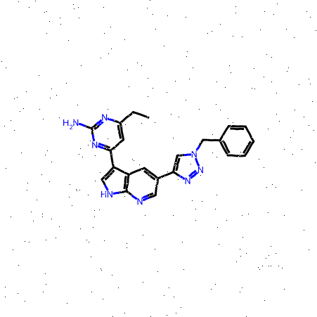 CCc1cc(-c2c[nH]c3ncc(-c4cn(Cc5ccccc5)nn4)cc23)nc(N)n1